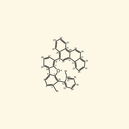 Cc1ccc2c(oc3c(-c4cc5c6ccccc6ccc5c5ccccc45)cccc32)c1-c1cccc[n+]1C